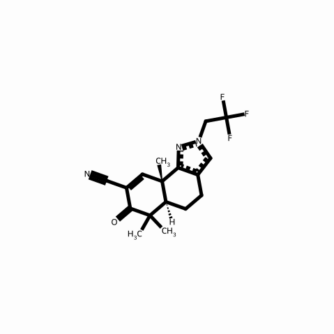 CC1(C)C(=O)C(C#N)=C[C@]2(C)c3nn(CC(F)(F)F)cc3CC[C@@H]12